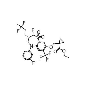 CCOC(=O)C1(COc2cc3c(cc2C(F)(F)F)N(c2cccc(F)c2)C[C@H](CCC(C)(F)F)[C@H](F)S3(=O)=O)CC1